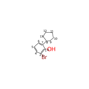 Oc1c(Br)cccc1C1CCCCC1